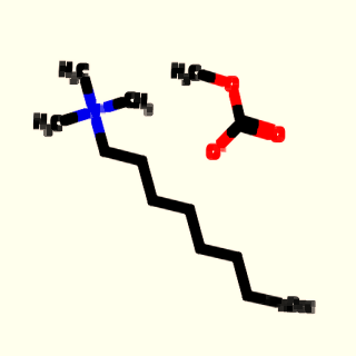 CCCCCCCCCCCCCCCCC[N+](C)(C)C.COC(=O)[O-]